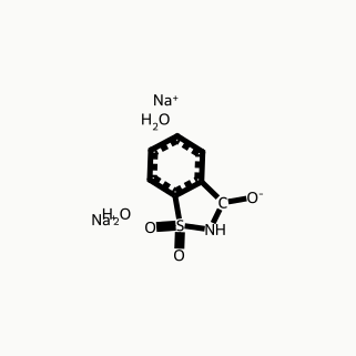 O.O.O=S1(=O)N[C-]([O-])c2ccccc21.[Na+].[Na+]